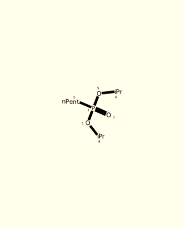 CCCCCP(=O)(OC(C)C)OC(C)C